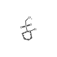 CCc1ccccc1S(=O)(=O)CC(F)(F)F